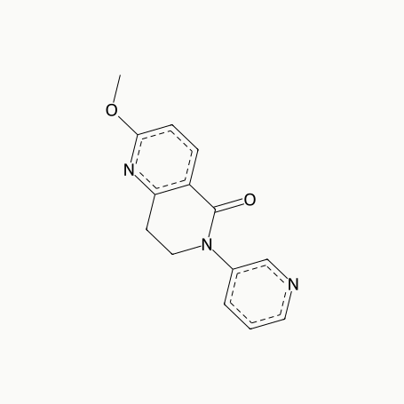 COc1ccc2c(n1)CCN(c1cccnc1)C2=O